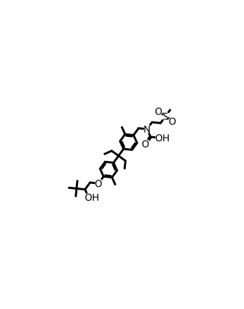 CCC(CC)(c1ccc(CN(CCS(C)(=O)=O)C(=O)O)c(C)c1)c1ccc(OCC(O)C(C)(C)C)c(C)c1